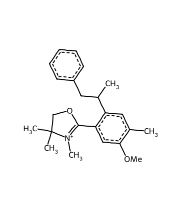 COc1cc(C2=[N+](C)C(C)(C)CO2)c(C(C)Cc2ccccc2)cc1C